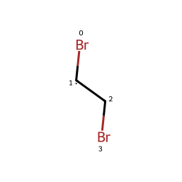 Br[CH]CBr